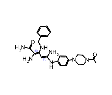 CC(=O)N1CCN(c2ccc(N/C(N)=C/C(NCc3ccccc3)=C(\N)C(N)=O)cc2)CC1